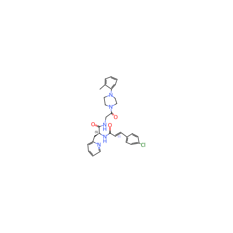 Cc1ccccc1N1CCN(C(=O)CNC(=O)[C@H](Cc2ccccn2)NC(=O)/C=C/c2ccc(Cl)cc2)CC1